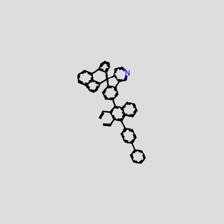 C=Cc1c(C=C)c(-c2ccc3c(c2)-c2cnccc2C32c3ccccc3-c3cccc4cccc2c34)c2ccccc2c1-c1ccc(-c2ccccc2)cc1